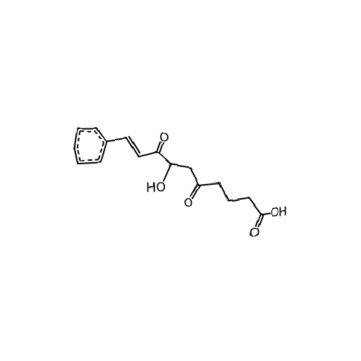 O=C(O)CCCC(=O)CC(O)C(=O)C=Cc1ccccc1